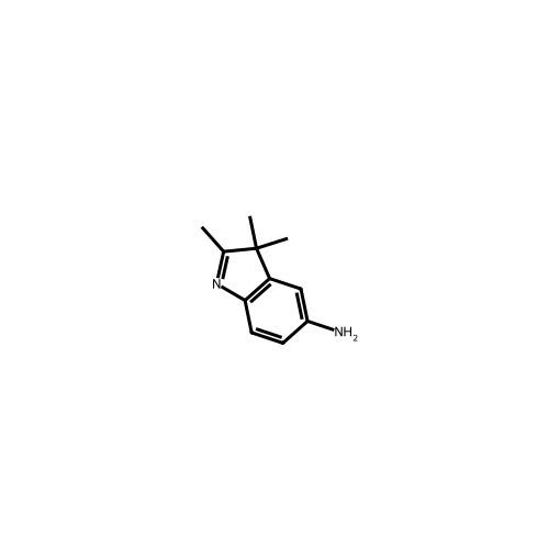 CC1=Nc2ccc(N)cc2C1(C)C